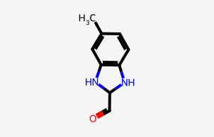 Cc1ccc2c(c1)NC(C=O)N2